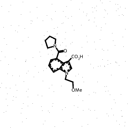 COCCn1cc(C(=O)O)c2c(C(=O)N3CCCC3)cccc21